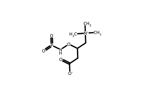 C[N+](C)(C)CC(CC(=O)[O-])ONP(=O)=O